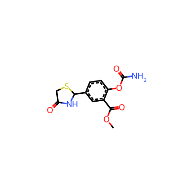 COC(=O)c1cc(C2NC(=O)CS2)ccc1OC(N)=O